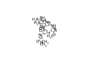 BC(B)(B)NC(=O)c1nnc(Nc2ccc(OC)nn2)cc1Nc1cc(F)cc(-c2ncc(C(=O)N(C)C)s2)c1OC